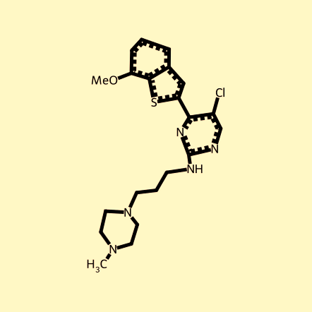 COc1cccc2cc(-c3nc(NCCCN4CCN(C)CC4)ncc3Cl)sc12